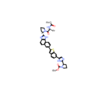 COC(=O)N[C@H](C(=O)N1CCC[C@H]1c1nc2ccc3cc(-c4cc5ccc(-c6cnc(C7CCCN7C(=O)OC(C)(C)C)[nH]6)cc5s4)ccc3c2[nH]1)C(C)C